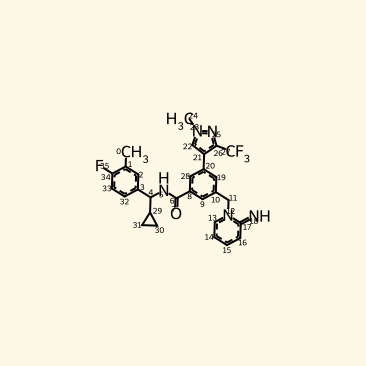 Cc1cc(C(NC(=O)c2cc(Cn3ccccc3=N)cc(-c3cn(C)nc3C(F)(F)F)c2)C2CC2)ccc1F